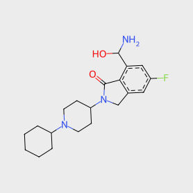 NC(O)c1cc(F)cc2c1C(=O)N(C1CCN(C3CCCCC3)CC1)C2